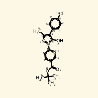 Cc1nn(-c2ccc(C(=O)OC(C)(C)C)cn2)c(O)c1-c1ccc(Cl)cc1